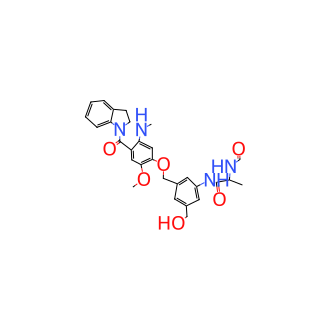 CNc1cc(OCc2cc(CO)cc(NC(=O)C(C)NC=O)c2)c(OC)cc1C(=O)N1CCc2ccccc21